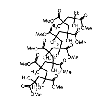 CCC(C)(CC(C)(CC(C)(CC(C)(CC(C)(CC(C)(CC(C)(CC(C)(CC(C)(CC(C)(C)C(=O)OC)C(=O)OC)C(=O)OC)C(=O)OC)C(=O)OC)C(=O)OC)C(=O)OC)C(=O)OC)C(=O)OC)C(=O)OC